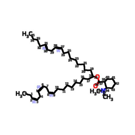 CC/C=C\C/C=C\C/C=C\CCCCCCCCC(CCCCCCCC/C=C\C/C=C/CCCC)OC(=O)C1CCCCC1N(C)C